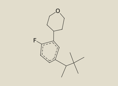 CC(c1ccc(F)c(C2CCOCC2)c1)C(C)(C)C